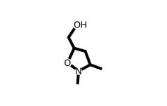 CC1CC(CO)ON1C